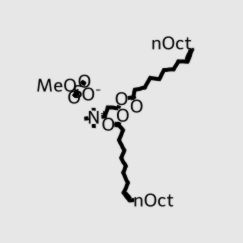 CCCCCCCC/C=C\CCCCCCCC(=O)OC(CC[N+](C)(C)C)OC(=O)CCCCCCC/C=C\CCCCCCCC.COS(=O)(=O)[O-]